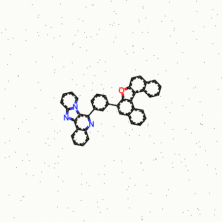 c1cc(-c2cc3ccccc3c3c2oc2ccc4ccccc4c23)cc(-c2nc3ccccc3c3nc4ccccn4c23)c1